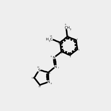 Cc1cccc(/N=N/C2=NCCS2)c1C